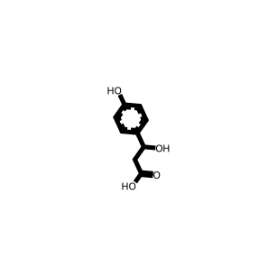 O=C(O)CC(O)c1ccc(O)cc1